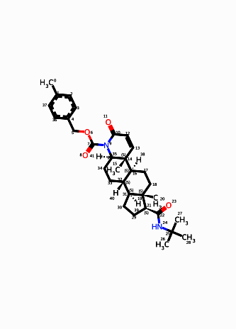 Cc1ccc(COC(=O)N2C(=O)C=C[C@]3(C)[C@H]4CC[C@]5(C)[C@@H](C(=O)NC(C)(C)C)CC[C@H]5[C@@H]4CC[C@@H]23)cc1